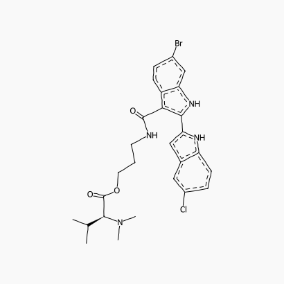 CC(C)[C@@H](C(=O)OCCCNC(=O)c1c(-c2cc3cc(Cl)ccc3[nH]2)[nH]c2cc(Br)ccc12)N(C)C